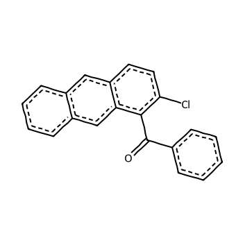 O=C(c1ccccc1)c1c(Cl)ccc2cc3ccccc3cc12